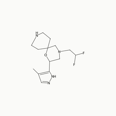 Cc1cn[nH]c1C1CN(CC(F)F)CC2(CCNCC2)O1